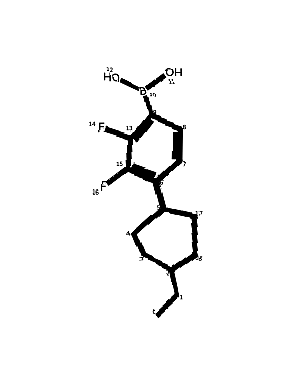 CCC1CCC(c2ccc(B(O)O)c(F)c2F)CC1